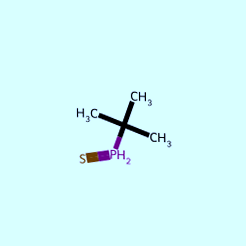 CC(C)(C)[PH2]=S